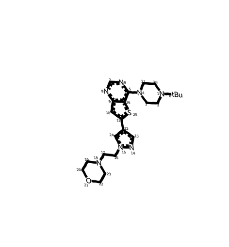 CC(C)(C)N1CCN(c2ncnc3cc(-c4cnn(CCN5CCOCC5)c4)sc23)CC1